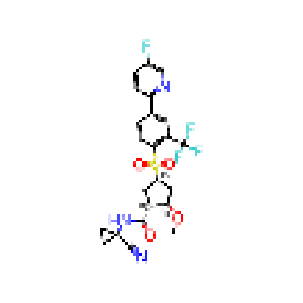 CO[C@@H]1C[C@H](S(=O)(=O)c2ccc(-c3ccc(F)cn3)cc2C(F)(F)F)C[C@H]1C(=O)NC1(C#N)CC1